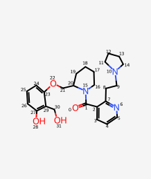 O=C(c1cccnc1CCN1CCCC1)N1CCCCC1COc1cccc(O)c1CO